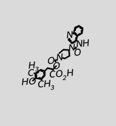 Cc1cc(CC(OC(=O)N2CCC(n3c(=O)[nH]c4c5ccccc5ncc43)CC2)C(=O)O)cc(C)c1O